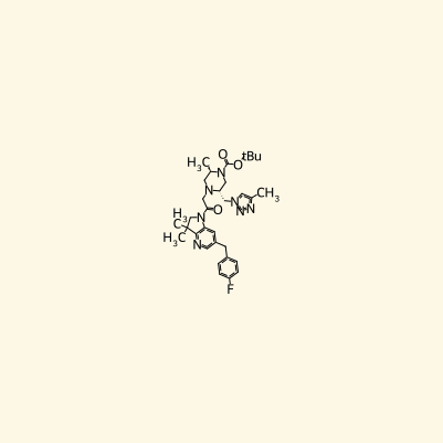 Cc1cn(C[C@H]2CN(C(=O)OC(C)(C)C)[C@H](C)CN2CC(=O)N2CC(C)(C)c3ncc(Cc4ccc(F)cc4)cc32)nn1